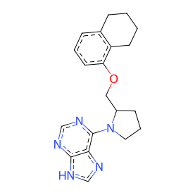 c1cc2c(c(OCC3CCCN3c3ncnc4[nH]cnc34)c1)CCCC2